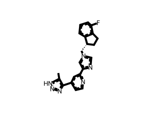 Cc1[nH]nnc1-c1ccnc(-c2cn(C[C@H]3CCc4c(F)cccc43)cn2)c1